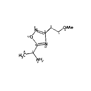 COCCc1noc(C(C)N)n1